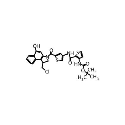 CC(C)(C)OC(=O)Nc1ccsc1C(=O)Nc1csc(C(=O)N2CC(CCl)c3c2cc(O)c2ccccc32)c1